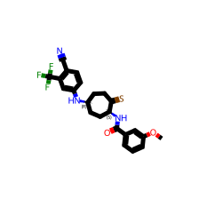 COc1cccc(C(=O)N[C@H]2CC[C@@H](Nc3ccc(C#N)c(C(F)(F)F)c3)CCC2=S)c1